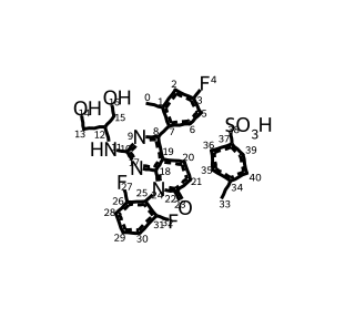 Cc1cc(F)ccc1-c1nc(NC(CO)CO)nc2c1ccc(=O)n2-c1c(F)cccc1F.Cc1ccc(S(=O)(=O)O)cc1